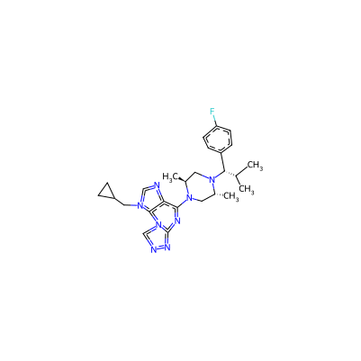 CC(C)[C@@H](c1ccc(F)cc1)N1C[C@H](C)N(c2nc3nncn3c3c2ncn3CC2CC2)C[C@H]1C